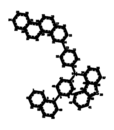 c1ccc2c(-c3ccc(N(c4ccc(-c5ccc6ccc7c8ccccc8ccc7c6c5)cc4)c4cccc5sc6ccccc6c45)cc3)cccc2c1